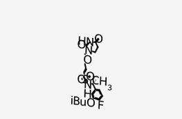 CC(C)COc1cc([C@@H](C)NS(=O)(=O)/C=C/COCN2CCC(=O)NC2=O)ccc1F